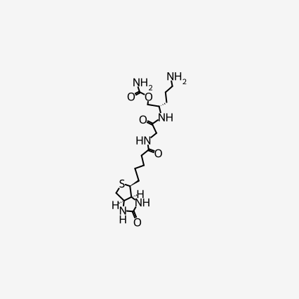 NCCC[C@@H](COC(N)=O)NC(=O)CNC(=O)CCCC[C@@H]1SC[C@@H]2NC(=O)N[C@@H]21